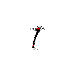 CCCCCCCCCCCCCCCCCCOC(CCN(C)C)CC(=O)O